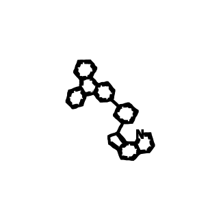 C1=c2ccc3cccnc3c2=C(c2cccc(-c3ccc4c5ccccc5c5ccccc5c4c3)c2)C1